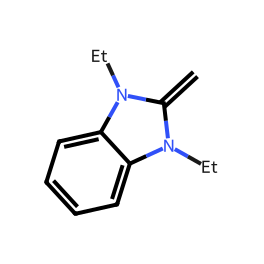 C=C1N(CC)c2ccccc2N1CC